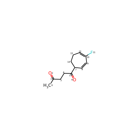 CC(=O)CCC(=O)C1C=CC(F)=CCC1